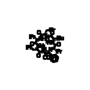 CC[C@H](C)[C@H](NC(=O)[C@@H](N)C(C)C)C(=O)N[C@@H](CC(C)C)C(=O)N[C@H](C(=O)N[C@@H](CC(C)C)C(=O)N[C@@H](Cc1ccccc1)C(=O)O)C(C)C